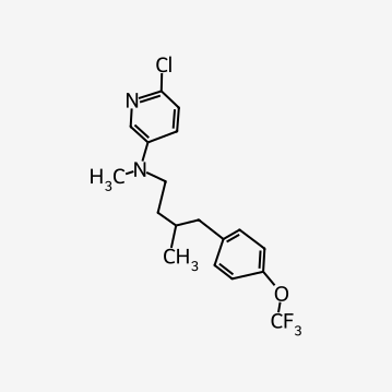 CC(CCN(C)c1ccc(Cl)nc1)Cc1ccc(OC(F)(F)F)cc1